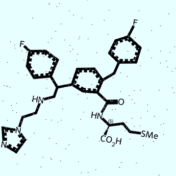 CSCC[C@H](NC(=O)c1cc(C(CNCCn2ccnc2)c2ccc(F)cc2)ccc1Cc1ccc(F)cc1)C(=O)O